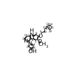 COc1cc2c(cc1OCCCN1CCCC1)[nH]c1ccnc(N3CC[C@H](O)C3)c12